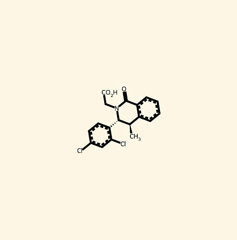 C[C@@H]1c2ccccc2C(=O)N(CC(=O)O)[C@H]1c1ccc(Cl)cc1Cl